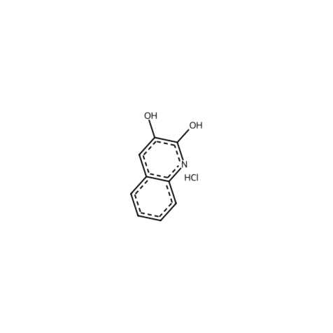 Cl.Oc1cc2ccccc2nc1O